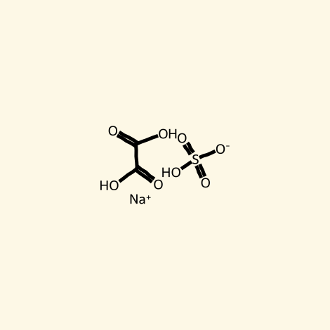 O=C(O)C(=O)O.O=S(=O)([O-])O.[Na+]